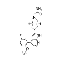 COc1ccc(F)cc1-c1ccnc2[nH]c([C@@H]3C[C@@H]4CN(CC(N)=O)C[C@@H]4C3)cc12